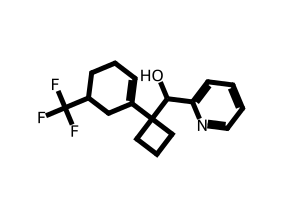 OC(c1ccccn1)C1(C2=CCCC(C(F)(F)F)C2)CCC1